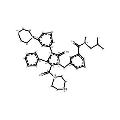 CC(C)CN(C)C(=O)c1cccc(Cn2c(C(=O)N3CCNCC3)c(-c3ccccc3)n(-c3cccc(N4CCOCC4)c3)c2=O)c1